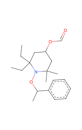 CCC1(CC)CC(OC=O)CC(C)(C)N1OC(C)c1ccccc1